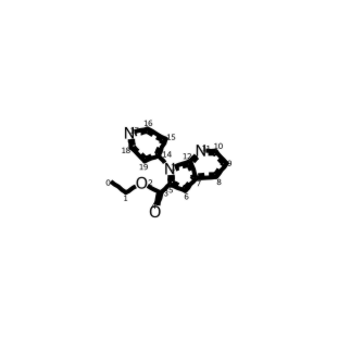 CCOC(=O)c1cc2cccnc2n1-c1ccncc1